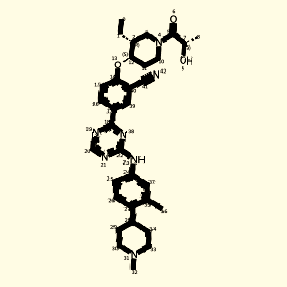 CC[C@@H]1CN(C(=O)[C@H](C)O)CC[C@@H]1Oc1ccc(-c2ncnc(Nc3ccc(C4CCN(C)CC4)c(C)c3)n2)cc1C#N